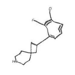 Fc1c(Cl)cccc1C1CC2(CCNCC2)C1